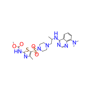 COC(=O)Nc1nc(C)c(S(=O)(=O)N2CCN(CC(C)Nc3ncnc4c(N(C)C)cccc34)CC2)s1